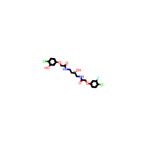 O=C(COc1ccc(Cl)c(O)c1)NCC[C@H](O)CNC(=O)COc1ccc(Cl)c(F)c1